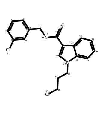 O=C(NCc1cccc(Cl)c1)c1cn(CCCCl)c2ccccc12